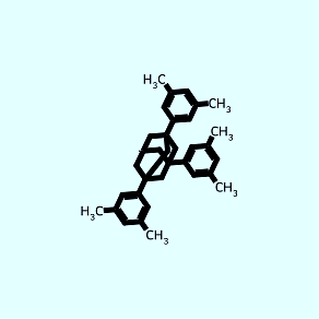 Cc1cc(C)cc(C23C[C]4CC(c5cc(C)cc(C)c5)(C2)CC(c2cc(C)cc(C)c2)(C4)C3)c1